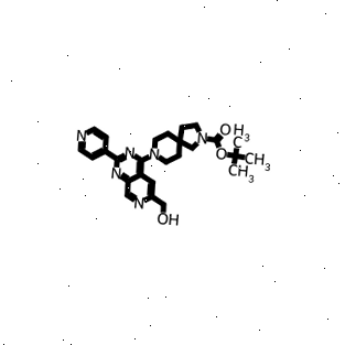 CC(C)(C)OC(=O)N1CCC2(CCN(c3nc(-c4ccncc4)nc4cnc(CO)cc34)CC2)C1